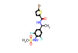 CC(NC(=O)c1ccc(Br)s1)c1cc(F)c(NS(C)(=O)=O)c(F)c1